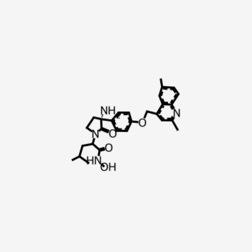 Cc1ccc2nc(C)cc(COc3ccc([C@]4(N)CCN(C(CC(C)C)C(=O)NO)C4=O)cc3)c2c1